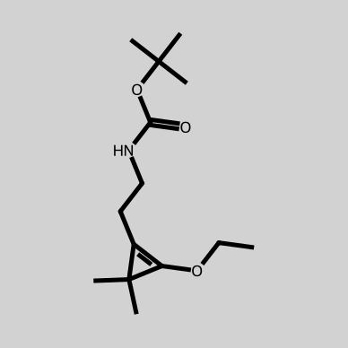 CCOC1=C(CCNC(=O)OC(C)(C)C)C1(C)C